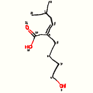 CC(C)C=C(CCCCO)C(=O)O